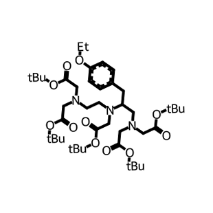 CCOc1ccc(CC(CN(CC(=O)OC(C)(C)C)CC(=O)OC(C)(C)C)N(CCN(CC(=O)OC(C)(C)C)CC(=O)OC(C)(C)C)CC(=O)OC(C)(C)C)cc1